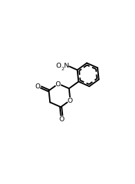 O=C1CC(=O)OC(c2ccccc2[N+](=O)[O-])O1